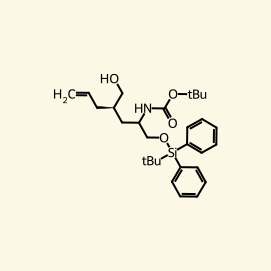 C=CC[C@@H](CO)CC(CO[Si](c1ccccc1)(c1ccccc1)C(C)(C)C)NC(=O)OC(C)(C)C